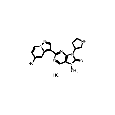 Cl.Cn1c(=O)n(C2CCNC2)c2nc(-c3cnn4ccc(C#N)cc34)ncc21